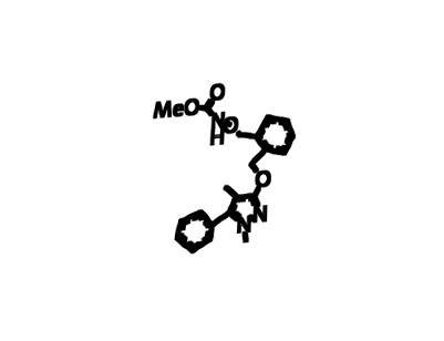 COC(=O)NOCc1ccccc1COc1nn(C)c(-c2ccccc2)c1C